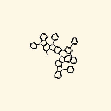 Cc1cc2c(c3ccccc3n2-c2ccccc2)c2c1c1cc(-n3c4ccccc4c4c3ccc3c5ccccc5n(-c5ccccc5)c34)c(-c3nc(-c4ccccc4)nc(-c4ccccc4)n3)cc1n2-c1ccccc1